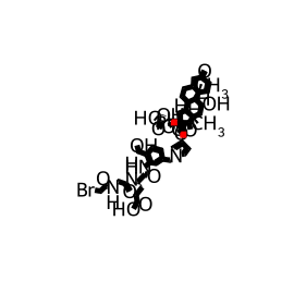 C[C@]12C=CC(=O)C=C1CC[C@@H]1[C@@H]2[C@@H](O)C[C@@]2(C)[C@H]1C[C@H]1O[C@@H](c3ccn(Cc4ccc(CO)c(NC(=O)[C@H](CCC(=O)O)NC(=O)CNC(=O)CBr)c4)c3)O[C@]12C(=O)COP(=O)(O)O